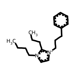 CCCCn1cc[n+](CCCc2ccccc2)c1CCC